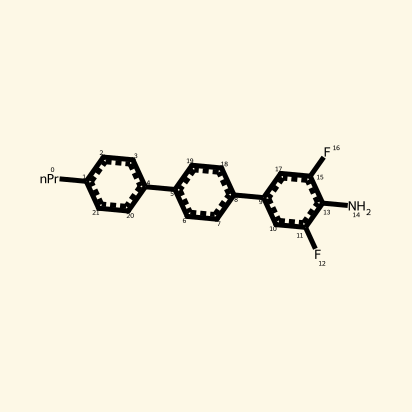 CCCc1ccc(-c2ccc(-c3cc(F)c(N)c(F)c3)cc2)cc1